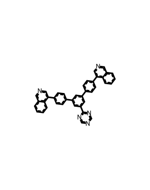 c1ccc2c(-c3ccc(-c4cc(-c5ccc(-c6cncc7ccccc67)cc5)cc(-c5ncncn5)c4)cc3)cncc2c1